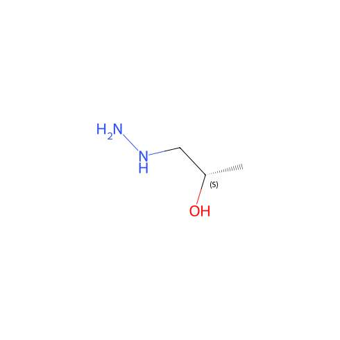 C[C@H](O)CNN